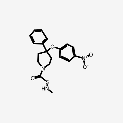 CNSC(=O)N1CCC(Oc2ccc([N+](=O)[O-])cc2)(c2ccccc2)CC1